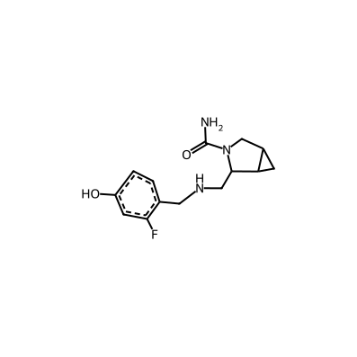 NC(=O)N1CC2CC2C1CNCc1ccc(O)cc1F